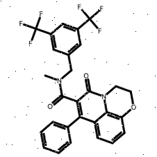 CN(Cc1cc(C(F)(F)F)cc(C(F)(F)F)c1)C(=O)c1c(-c2ccccc2)c2cccc3c2n(c1=O)CCO3